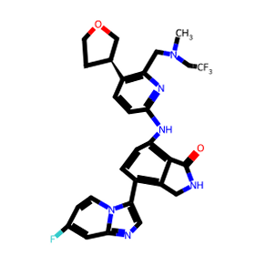 CN(Cc1nc(Nc2ccc(-c3cnc4cc(F)ccn34)c3c2C(=O)NC3)ccc1[C@H]1CCOC1)CC(F)(F)F